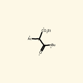 CCCCC(=O)C(C(C)=O)C(=O)OCC